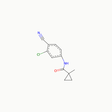 CC1(C(=O)Nc2ccc(C#N)c(Cl)c2)CC1